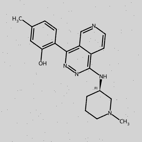 Cc1ccc(-c2nnc(N[C@@H]3CCCN(C)C3)c3ccncc23)c(O)c1